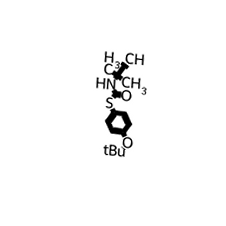 C#CC(C)(C)NC(=O)Sc1ccc(OC(C)(C)C)cc1